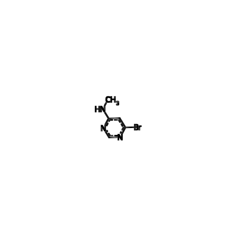 CNc1cc(Br)ncn1